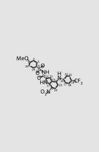 COc1ccc(S(=O)(=O)NC(=O)c2cc3c(Nc4ccc(C(F)(F)F)cc4)ccc([N+](=O)[O-])c3[nH]2)cc1